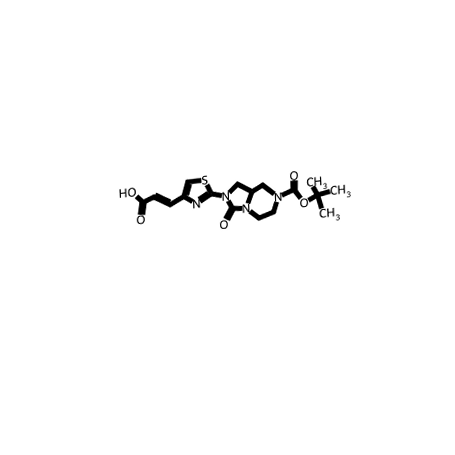 CC(C)(C)OC(=O)N1CCN2C(=O)N(c3nc(/C=C/C(=O)O)cs3)CC2C1